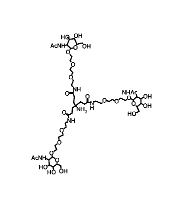 CC(=O)NC1C(OCCOCCOCCNC(=O)CCC(N)(CCC(=O)NCCOCCOCCOC2OC(CO)C(O)C(O)C2NC(C)=O)CCC(=O)NCCOCCOCCOC2OC(CO)C(O)C(O)C2NC(C)=O)OC(CO)C(O)C1O